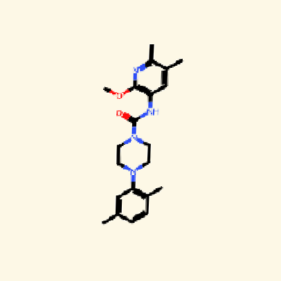 COc1nc(C)c(C)cc1NC(=O)N1CCN(c2cc(C)ccc2C)CC1